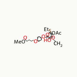 C=CCO[C@H]1[C@@H](O)[C@@H](COc2ccc(OCCCCC(=O)OC)cc2)O[C@@H](SCC)[C@@H]1OC(C)=O